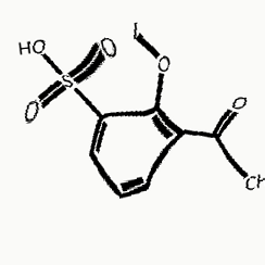 CC(=O)c1cccc(S(=O)(=O)O)c1OI